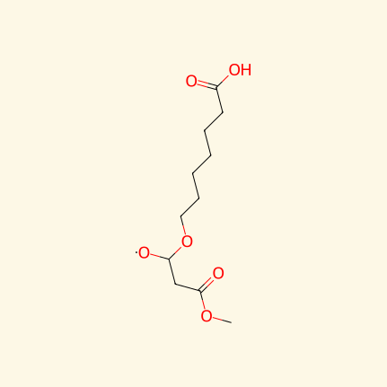 COC(=O)CC([O])OCCCCCCC(=O)O